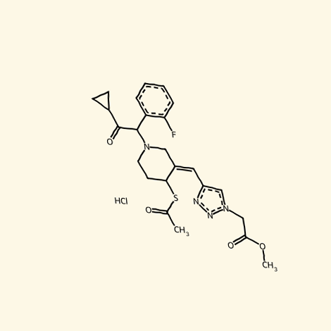 COC(=O)Cn1cc(C=C2CN(C(C(=O)C3CC3)c3ccccc3F)CCC2SC(C)=O)nn1.Cl